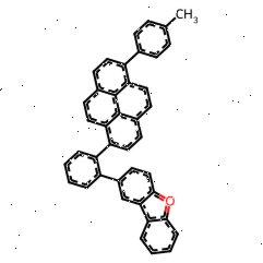 Cc1ccc(-c2ccc3ccc4c(-c5ccccc5-c5ccc6oc7ccccc7c6c5)ccc5ccc2c3c54)cc1